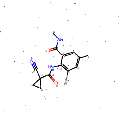 CNC(=O)c1cc(C)cc(Br)c1NC(=O)C1(C#N)CC1